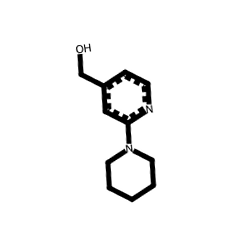 OCc1ccnc(N2CCCCC2)c1